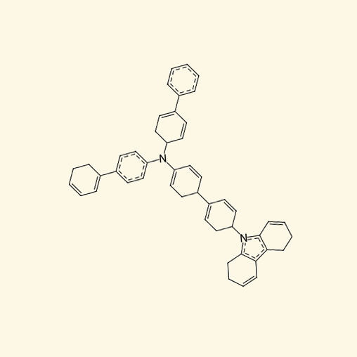 C1=CCCC(c2ccc(N(C3=CCC(C4=CCC(n5c6c(c7c5CCC=C7)CCC=C6)C=C4)C=C3)C3C=CC(c4ccccc4)=CC3)cc2)=C1